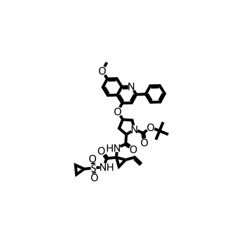 C=CC1CC1(NC(=O)C1CC(Oc2cc(-c3ccccc3)nc3cc(OC)ccc23)CN1C(=O)OC(C)(C)C)C(=O)NS(=O)(=O)C1CC1